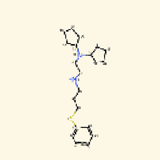 c1ccc(SCCCNCCN(C2CCCC2)C2CCCC2)cc1